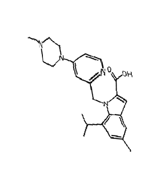 Cc1cc(C(C)C)c2c(c1)cc(C(=O)O)n2Cc1cc(N2CCN(C)CC2)ccn1